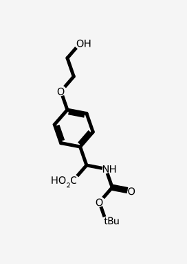 CC(C)(C)OC(=O)NC(C(=O)O)c1ccc(OCCO)cc1